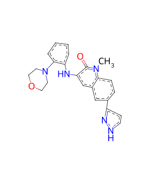 Cn1c(=O)c(Nc2ccccc2N2CCOCC2)cc2cc(-c3cc[nH]n3)ccc21